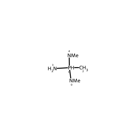 CN[PH](C)(N)NC